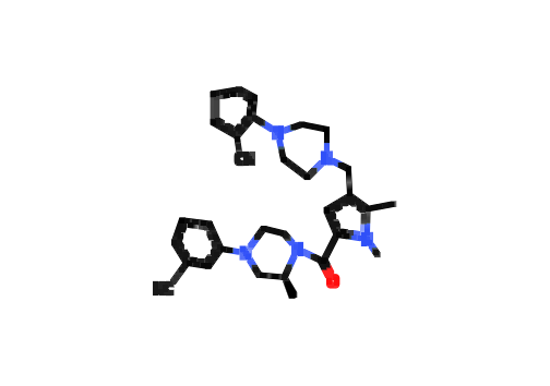 Cc1c(CN2CCN(c3ccccc3C#N)CC2)cc(C(=O)N2CCN(c3cccc(C#N)c3)C[C@@H]2C)n1C